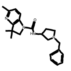 Cc1ccc2c(n1)C(C)(C)CN2C(=O)NC1CCN(Cc2ccccc2)C1